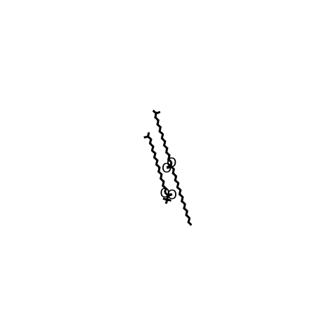 CC(C)CCCCCCCCCCCCCCCOC(=O)C(C)(C)C.CCCCCCCCCCCCCCCCCC(=O)OCCCCCCCCCCCCCC(C)C